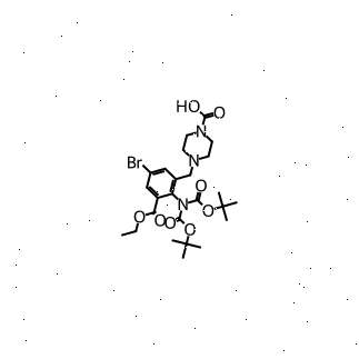 CCOC(=O)c1cc(Br)cc(CN2CCN(C(=O)O)CC2)c1N(C(=O)OC(C)(C)C)C(=O)OC(C)(C)C